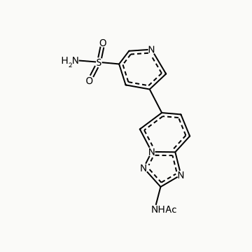 CC(=O)Nc1nc2ccc(-c3cncc(S(N)(=O)=O)c3)cn2n1